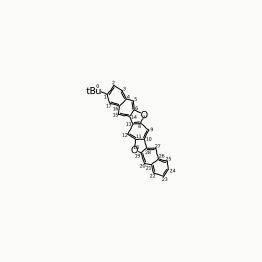 CC(C)(C)c1ccc2cc3oc4cc5c(cc4c3cc2c1)oc1cc2ccccc2cc15